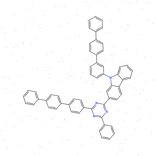 c1ccc(-c2ccc(-c3ccc(-c4nc(-c5ccccc5)nc(-c5ccc6c7ccccc7n(-c7cccc(-c8ccc(-c9ccccc9)cc8)c7)c6c5)n4)cc3)cc2)cc1